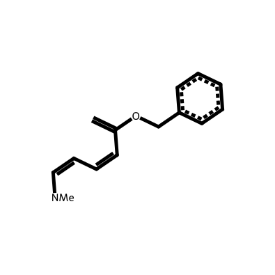 C=C(/C=C\C=C/NC)OCc1ccccc1